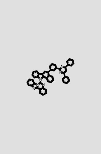 c1ccc(-c2cc(-c3ccccc3)nc(-c3cccc(-c4cc5c6ccccc6n(-c6nc7ccccc7c7nc8ccccc8n67)c5c5ccccc45)c3)n2)cc1